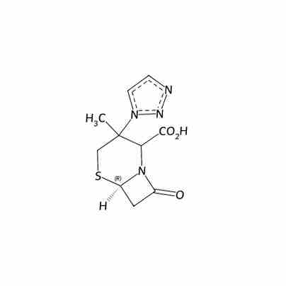 CC1(n2ccnn2)CS[C@@H]2CC(=O)N2C1C(=O)O